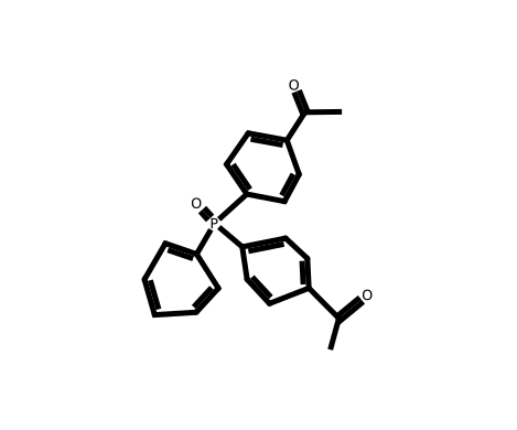 CC(=O)c1ccc(P(=O)(c2ccccc2)c2ccc(C(C)=O)cc2)cc1